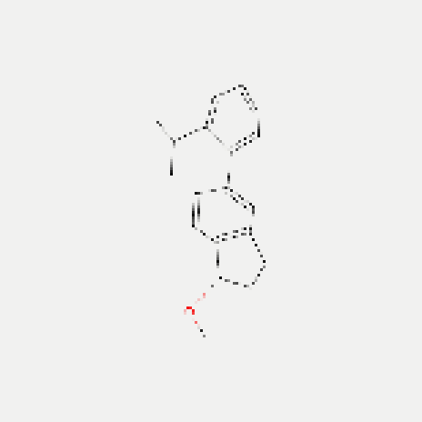 CO[C@H]1CCc2cc(-c3ccccc3C(C)C)ccc21